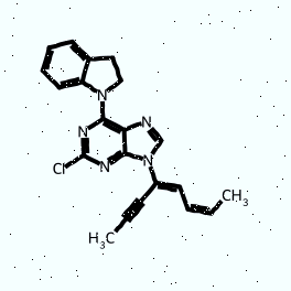 CC#C/C(=C\C=C/C)n1cnc2c(N3CCc4ccccc43)nc(Cl)nc21